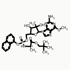 COc1nc(N)nc2c1ncn2C1OC(COP(=O)(N[C@@H](C)C(=O)OCC(C)(C)C)Oc2cccc3ccccc23)C(O)C1(C)O